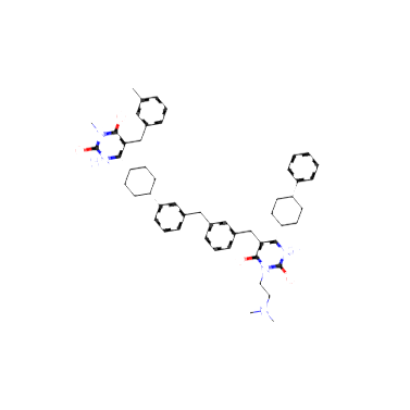 Cc1cccc(Cc2c(=O)n(C)c(=O)[nH]c2[C@H]2CC[C@H](c3cccc(Cc4cccc(Cc5c(=O)n(CCN(C)C)c(=O)[nH]c5[C@H]5CC[C@H](c6ccccc6)CC5)c4)c3)CC2)c1